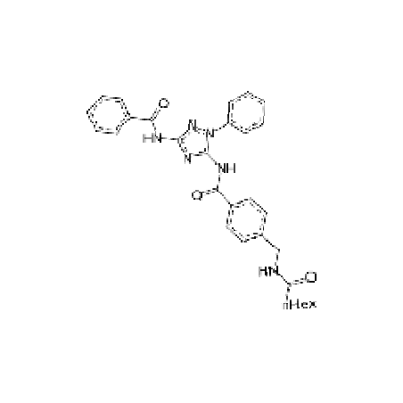 CCCCCCC(=O)NCc1ccc(C(=O)Nc2nc(NC(=O)c3ccccc3)nn2-c2ccccc2)cc1